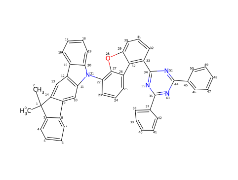 CC1(C)c2ccccc2-c2cc3c(cc21)c1ccccc1n3-c1cccc2c1oc1cccc(-c3nc(-c4ccccc4)nc(-c4ccccc4)n3)c12